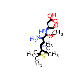 COC(N[C@H](C=O)CC(=O)O)C(N)/C=C/C1C(C)(C)SC1(C)C